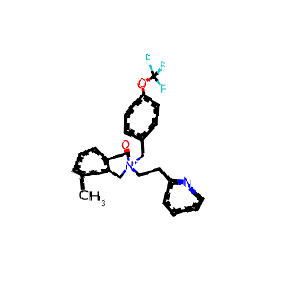 Cc1cccc2c1C[N+](CCc1ccccn1)(Cc1ccc(OC(F)(F)F)cc1)C2=O